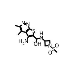 Cc1nnc2sc(C(O)NC3CN(S(C)(=O)=O)C3)c(N)c2c1C